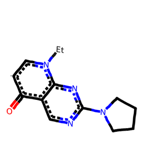 CCn1c[c]c(=O)c2cnc(N3CCCC3)nc21